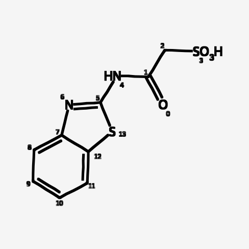 O=C(CS(=O)(=O)O)Nc1nc2ccccc2s1